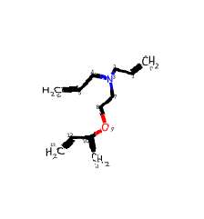 C=CCN(CC=C)CCOC(=C)C=C